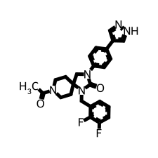 CC(=O)N1CCC2(CC1)CN(c1ccc(-c3cn[nH]c3)cc1)C(=O)N2Cc1cccc(F)c1F